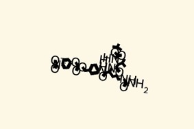 CC(C)C(NC(=O)OC(C)(C)C)C(=O)NC(CCCNC(N)=O)C(=O)Nc1ccc(COC(=O)Oc2ccc([N+](=O)[O-])cc2)cc1